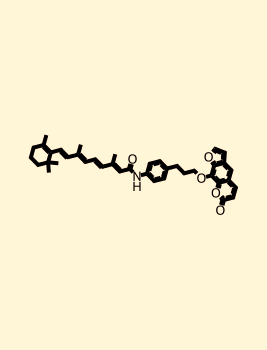 CC1=C(/C=C/C(C)=C/C=C/C(C)=C/C(=O)Nc2ccc(CCCOc3c4occc4cc4ccc(=O)oc34)cc2)C(C)(C)CCC1